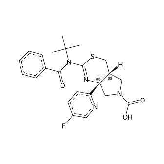 CC(C)(C)N(C(=O)c1ccccc1)C1=N[C@@]2(c3ccc(F)cn3)CN(C(=O)O)C[C@H]2CS1